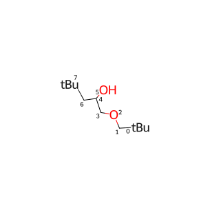 CC(C)(C)COCC(O)CC(C)(C)C